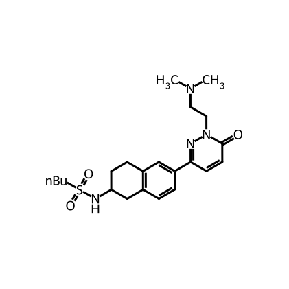 CCCCS(=O)(=O)NC1CCc2cc(-c3ccc(=O)n(CCN(C)C)n3)ccc2C1